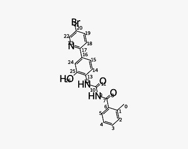 Cc1ccccc1C(=O)NC(=O)Nc1ccc(-c2ccc(Br)cn2)cc1O